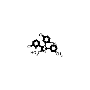 Cc1cccc(-c2nc(C(=O)O)c(-c3cccc(Cl)c3F)n2-c2cc(Cl)ccc2C)c1